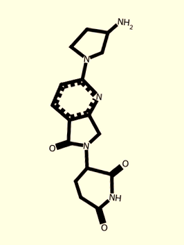 NC1CCN(c2ccc3c(n2)CN(C2CCC(=O)NC2=O)C3=O)C1